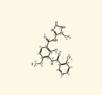 CN1NNN=C1NC(=O)c1ccc(OC(F)(F)F)c(NC(=O)c2cnccc2C(F)(F)F)c1Cl